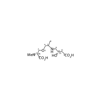 CN[C@H](COCC(C)NC[C@@H](O)CC(=O)O)C(=O)O